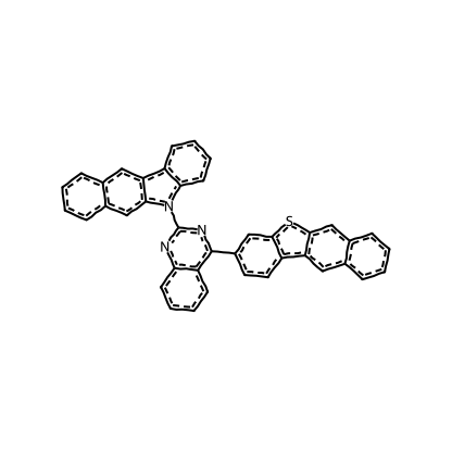 c1ccc2cc3c(cc2c1)sc1cc(-c2nc(-n4c5ccccc5c5cc6ccccc6cc54)nc4ccccc24)ccc13